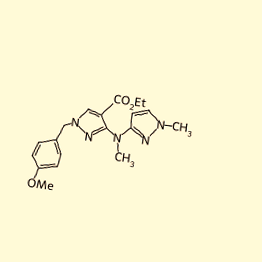 CCOC(=O)c1cn(Cc2ccc(OC)cc2)nc1N(C)c1ccn(C)n1